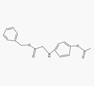 CC(=O)Oc1ccc(NCC(=O)OCc2ccccc2)cc1